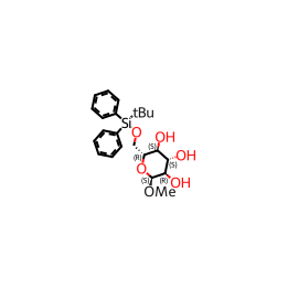 CO[C@H]1O[C@H](CO[Si](c2ccccc2)(c2ccccc2)C(C)(C)C)[C@@H](O)[C@H](O)[C@H]1O